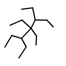 CCC(CC)C(CC)(CC)C(CC)CC